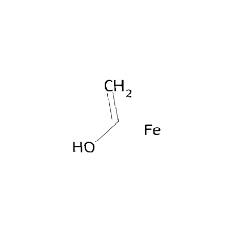 C=CO.[Fe]